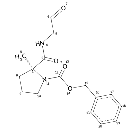 C[C@@]1(C(=O)NCC=O)CCCN1C(=O)OCc1ccccc1